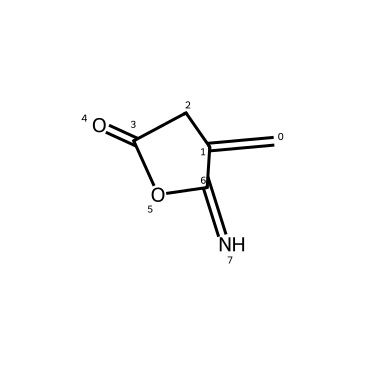 C=C1CC(=O)OC1=N